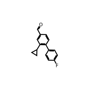 O=Cc1ccc(-c2ccc(F)cc2)c(C2CC2)c1